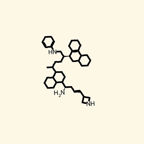 CC(CCC(CNC1=CCCC=C1)[C@@H]1CC2CCCCC2C2=C1CCCC2)C1CCC([C@@H](N)C/C=C/C2CNC2)C2CCCCC12